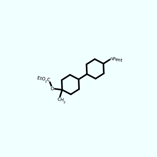 CCCCCC1CCC(C2CCC(C)(OC(=O)OCC)CC2)CC1